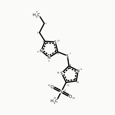 CCCc1nnc(Sc2ncc(S(C)(=O)=O)s2)s1